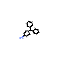 N=C1C=CC(=C(c2ccccc2)c2ccccc2)C=C1